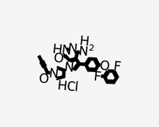 CC#CC(=O)N1CC[C@@H](n2cc(-c3ccc(Oc4c(F)cccc4F)cc3)c3c(N)n[nH]c(=O)c32)C1.Cl